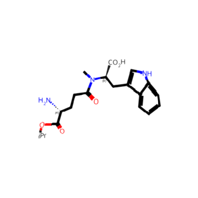 CC(C)OC(=O)[C@H](N)CCC(=O)N(C)[C@H](Cc1c[nH]c2ccccc12)C(=O)O